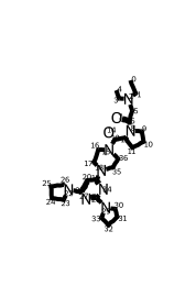 CCN(CC)CC(=O)N1CCCC1C(=O)N1CCN(c2cc(N3CCCC3)nc(N3CCCC3)n2)CC1